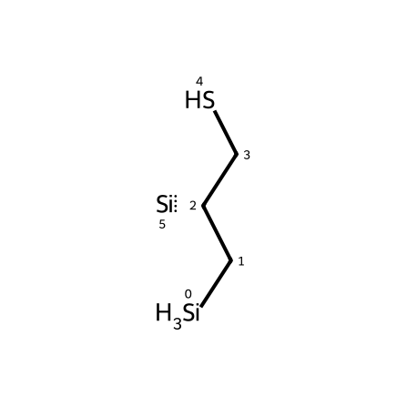 [SiH3]CCCS.[Si]